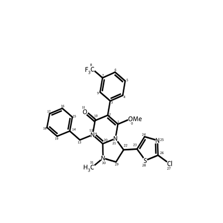 COc1c(-c2cccc(C(F)(F)F)c2)c(=O)[n+](Cc2ccccc2)c2n1C(c1cnc(Cl)s1)CN2C